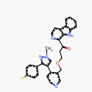 Cn1cc(-c2ccncc2COCCC(=O)c2nccc3c2[nH]c2ccccc23)c(-c2ccc(F)cc2)n1